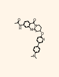 CC(=O)Nc1ccc(C(=O)N2CCC(Oc3ccc(-c4ccc(N(C)C)cc4)cn3)CC2)c(N)c1